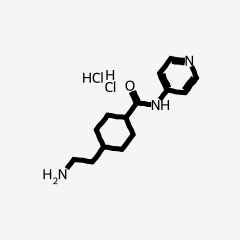 Cl.Cl.NCCC1CCC(C(=O)Nc2ccncc2)CC1